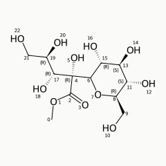 COC(=O)[C@](O)(C1O[C@H](CO)[C@@H](O)[C@H](O)[C@H]1O)[C@H](O)[C@H](O)CO